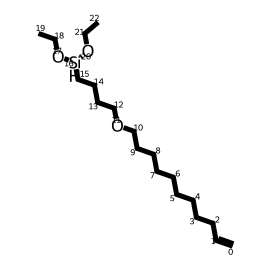 C=CCCCCCCCCCOCCCC[SiH](OCC)OCC